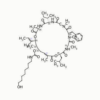 C/C=C(\C)[C@H]1OC(=O)[C@@H](C)NC(=O)[C@H](C(C)CC)NC(=O)CN(C)C(=O)[C@@H](Cc2ccccc2)N(C)C(=O)[C@H](C)NC(=O)[C@@H](CC(C)C)OC(=O)/C(C)=C/C[C@H](OC(=O)NCCCCCCCCO)[C@@H]1C